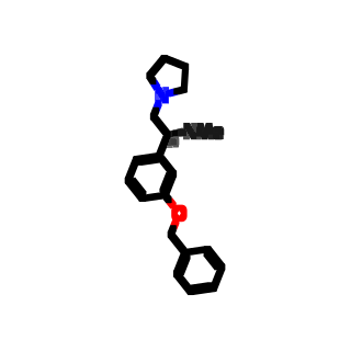 CN[C@H](CN1CCCC1)c1cccc(OCc2ccccc2)c1